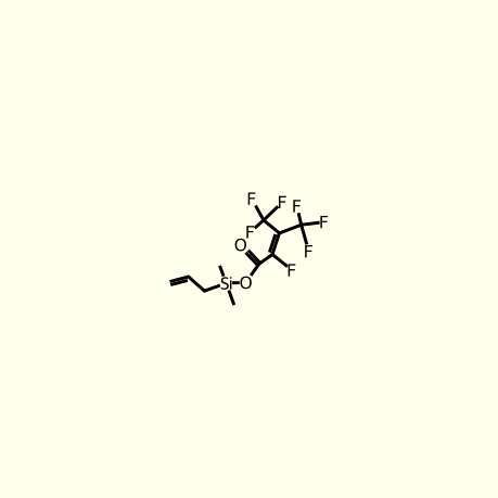 C=CC[Si](C)(C)OC(=O)C(F)=C(C(F)(F)F)C(F)(F)F